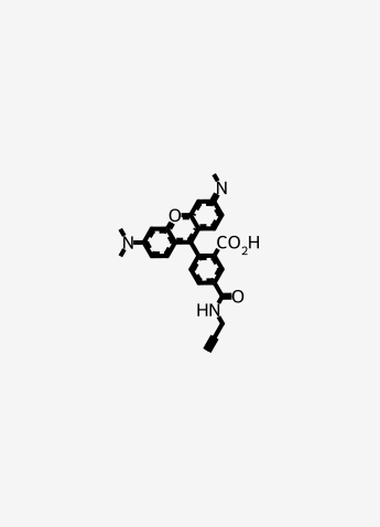 C#CCNC(=O)c1ccc(-c2c3cc/c(=N/C)cc-3oc3cc(N(C)C)ccc23)c(C(=O)O)c1